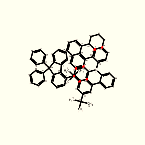 CC(C)(C)c1cc(-c2ccccc2N(c2ccc(-c3cccc4c3-c3ccccc3C4(c3ccccc3)c3ccccc3)cc2)c2ccccc2-c2cccc3cccc(C4CCCCC4)c23)cc(C(C)(C)C)c1